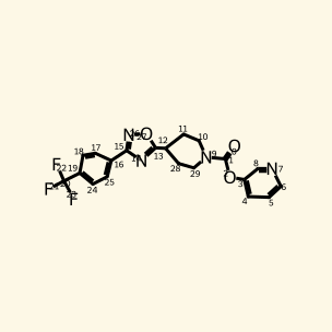 O=C(Oc1cccnc1)N1CCC(c2nc(-c3ccc(C(F)(F)F)cc3)no2)CC1